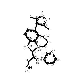 Cc1noc(C)c1-c1ccc2c3c1OC[C@H](c1ccccn1)N3C(C(O)CO)N2